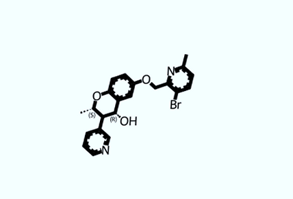 Cc1ccc(Br)c(COc2ccc3c(c2)[C@H](O)C(c2cccnc2)[C@H](C)O3)n1